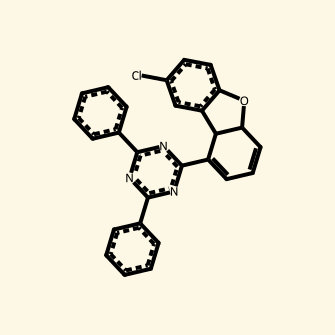 Clc1ccc2c(c1)C1C(c3nc(-c4ccccc4)nc(-c4ccccc4)n3)=CC=CC1O2